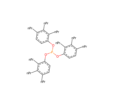 CCCc1ccc(OP(Oc2ccc(CCC)c(CCC)c2CCC)Oc2ccc(CCC)c(CCC)c2CCC)c(CCC)c1CCC